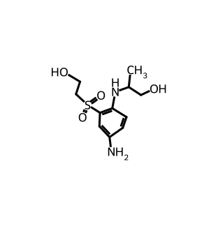 CC(CO)Nc1ccc(N)cc1S(=O)(=O)CCO